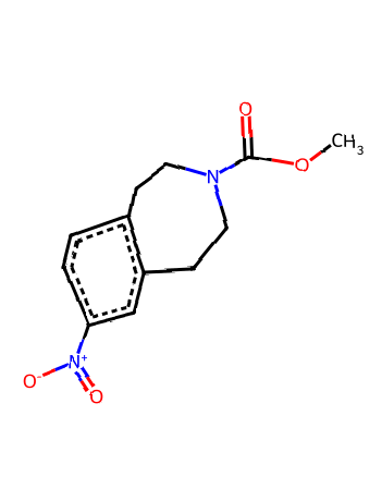 COC(=O)N1CCc2ccc([N+](=O)[O-])cc2CC1